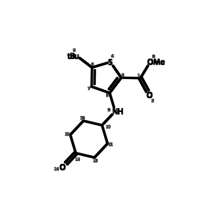 COC(=O)c1sc(C(C)(C)C)cc1NC1CCC(=O)CC1